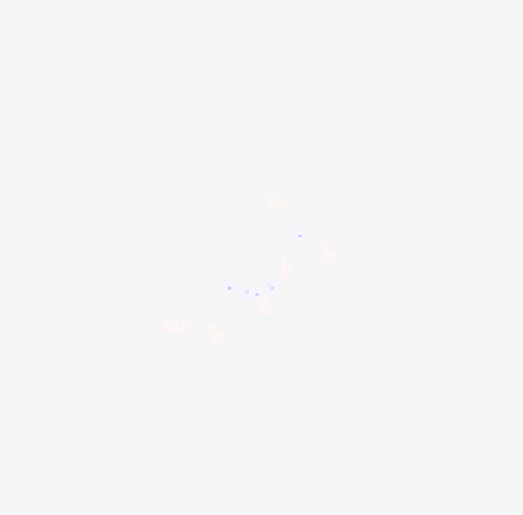 CC(On1on1N1CC[C@H]1C(=O)O)N1C(=O)c2ccccc2C1=O